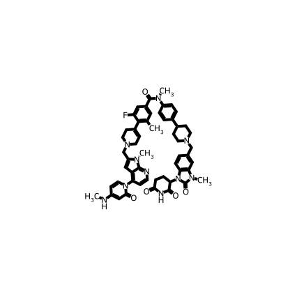 CNc1ccn(-c2ccnc3c2cc(CN2CC=C(c4c(C)cc(C(=O)N(C)c5ccc(C6CCN(Cc7ccc8c(c7)n(C)c(=O)n8C7CCC(=O)NC7=O)CC6)cc5)cc4F)CC2)n3C)c(=O)c1